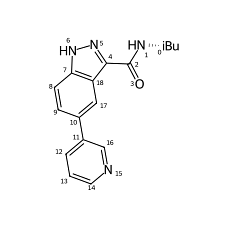 CC[C@@H](C)NC(=O)c1n[nH]c2ccc(-c3cccnc3)cc12